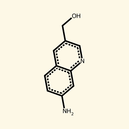 Nc1ccc2cc(CO)cnc2c1